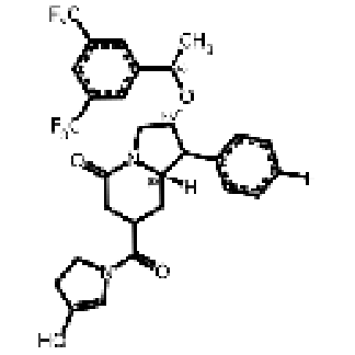 C[C@@H](O[C@H]1CN2C(=O)CC(C(=O)N3C=C(O)CC3)C[C@H]2C1c1ccc(F)cc1)c1cc(C(F)(F)F)cc(C(F)(F)F)c1